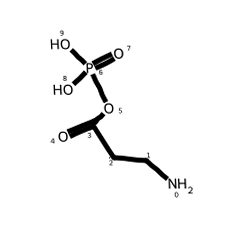 NC[CH]C(=O)OP(=O)(O)O